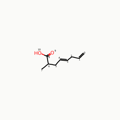 C=CC/C=C/CC(C)C(=O)O